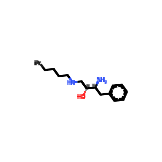 CC(C)CCCCNC[C@@H](O)[C@@H](N)Cc1ccccc1